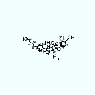 C#Cc1ccc(OC2C(C)(C)C(NC(=O)c3ccc(CCCCO)nc3)C2(C)C)cc1Cl